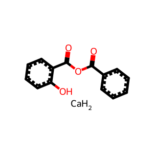 O=C(OC(=O)c1ccccc1O)c1ccccc1.[CaH2]